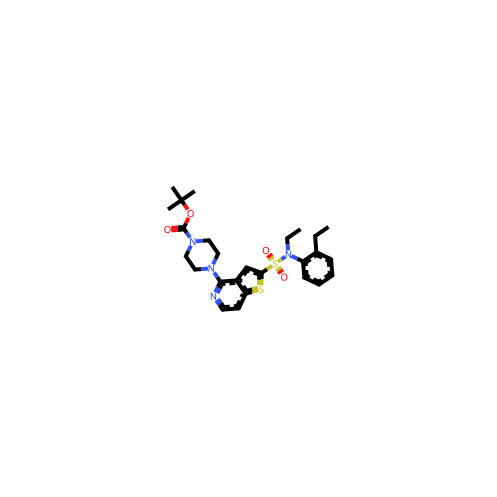 CCc1ccccc1N(CC)S(=O)(=O)c1cc2c(N3CCN(C(=O)OC(C)(C)C)CC3)nccc2s1